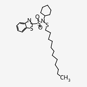 CCCCCCCCCCCCSN(C1CCCCC1)S(=O)(=O)c1nc2ccccc2s1